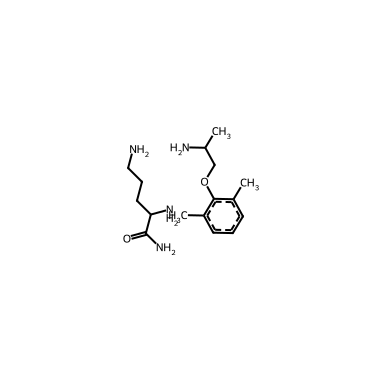 Cc1cccc(C)c1OCC(C)N.NCCCC(N)C(N)=O